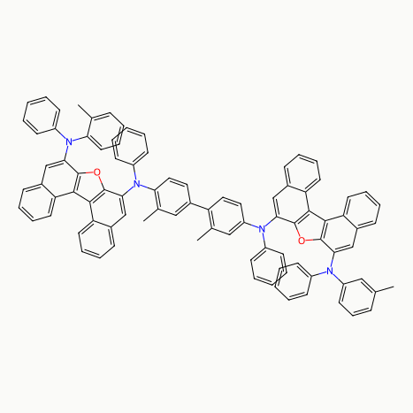 Cc1cccc(N(c2ccccc2)c2cc3ccccc3c3c2oc2c(N(c4ccccc4)c4ccc(-c5ccc(N(c6ccccc6)c6cc7ccccc7c7c6oc6c(N(c8ccccc8)c8ccccc8C)cc8ccccc8c67)c(C)c5)c(C)c4)cc4ccccc4c23)c1